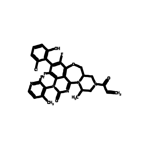 C=CC(=O)N1CC(C)N2c3nc(=O)n(-c4c(C)ccnc4C(C)C)c4c(F)c(-c5c(O)cccc5Cl)c(F)c(c34)OCC2C1